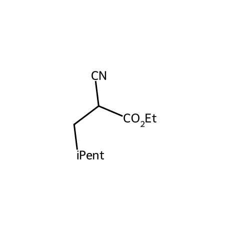 CCCC(C)CC(C#N)C(=O)OCC